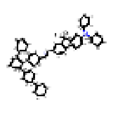 CCC1(CC)c2cc(/C=C/c3ccc(-c4c(-c5ccccc5)cccc4-c4ccc(-c5ccccc5)cc4)cc3)ccc2-c2ccc(N(c3ccccc3)c3ccccc3)cc21